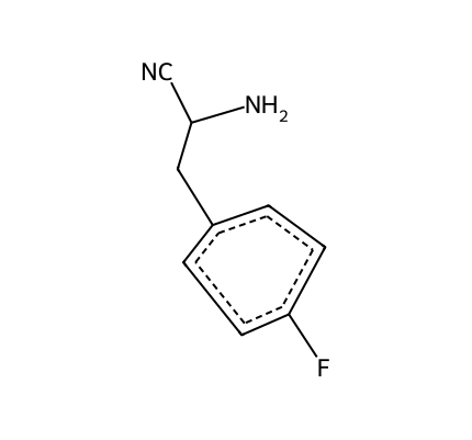 N#CC(N)Cc1ccc(F)cc1